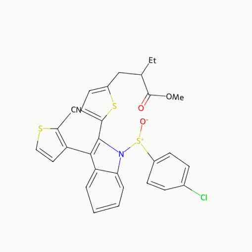 CCC(Cc1ccc(-c2c(-c3ccsc3C#N)c3ccccc3n2[S+]([O-])c2ccc(Cl)cc2)s1)C(=O)OC